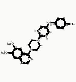 COc1cc2ncnc(N3CCN(c4ncc(Nc5ccc(Cl)cc5)cn4)CC3)c2cc1OC